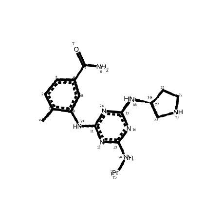 Cc1ccc(C(N)=O)cc1Nc1nc(NC(C)C)nc(N[C@H]2CCNC2)n1